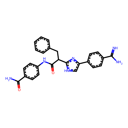 N=C(N)c1ccc(-c2c[nH]c(C(Cc3ccccc3)C(=O)Nc3ccc(C(N)=O)cc3)n2)cc1